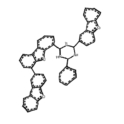 c1ccc(C2NC(c3ccc4oc5ccccc5c4c3)NC(c3cccc4c3oc3c(-c5ccc6oc7ccccc7c6c5)cccc34)N2)cc1